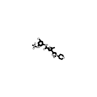 Cc1sc(C(=O)Nc2cc(Cl)cc(NS(C)(=O)=O)c2)cc1-c1cn(C2CCOCC2)nn1